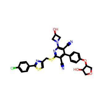 N#Cc1c(SCc2csc(-c3ccc(Cl)cc3)n2)nc(N2CC(O)C2)c(C#N)c1-c1ccc(OC2COCC2O)cc1